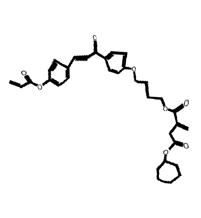 C=CC(=O)Oc1ccc(/C=C/C(=O)c2ccc(OCCCCOC(=O)C(=C)CC(=O)OC3CCCCC3)cc2)cc1